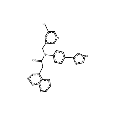 O=C(Cc1cncc2ccccc12)N(Cc1cncc(Cl)c1)c1ccc(-c2c[nH]cn2)cc1